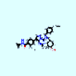 COc1ccc(CN(CC2CCC(O)CC2)c2nc(SC)nc3c(-c4ccc(C(=O)NC5CC5)c(C)c4)cnn23)cc1